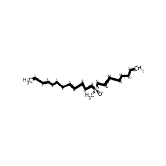 CCCCCCCCCCCC[N+](C)([O-])CCCCCCCC